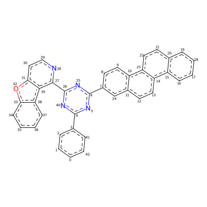 c1ccc(-c2nc(-c3ccc4c(ccc5c6ccccc6ccc45)c3)nc(-c3nccc4oc5ccccc5c34)n2)cc1